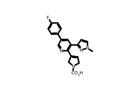 Cn1ccc(-c2cc(-c3ccc(F)cc3)cnc2C2=CCN(C(=O)O)C2)n1